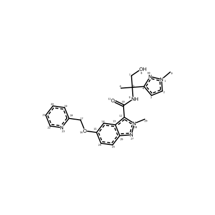 Cn1ccc(C(C)(CO)NC(=O)c2c3cc(OCc4ccccn4)ccc3nn2C)n1